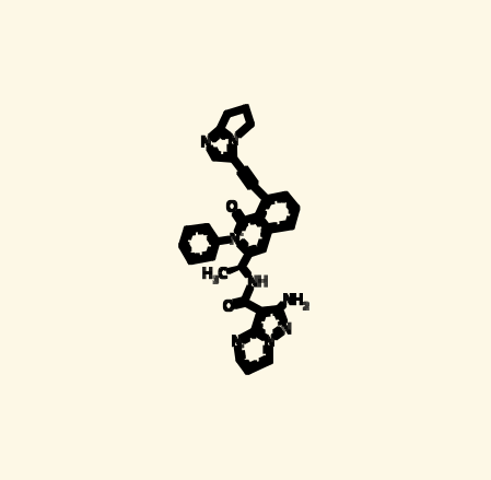 C[C@H](NC(=O)c1c(N)nn2cccnc12)c1cc2cccc(C#Cc3cnc4n3CCC4)c2c(=O)n1-c1ccccc1